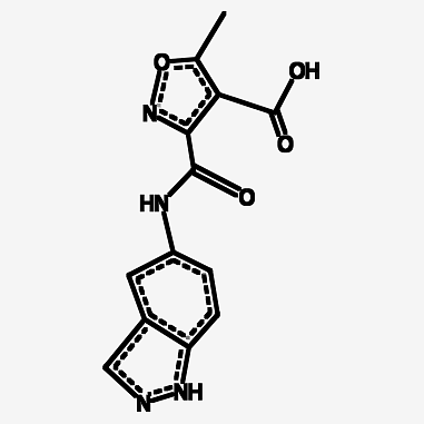 Cc1onc(C(=O)Nc2ccc3[nH]ncc3c2)c1C(=O)O